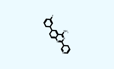 Nc1nc(C2C=NC=CC2)nc2c1=CC(C1C=C(F)C=CC1)CC=2